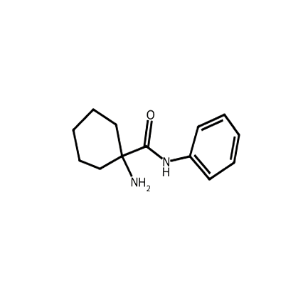 NC1(C(=O)Nc2ccccc2)CCCCC1